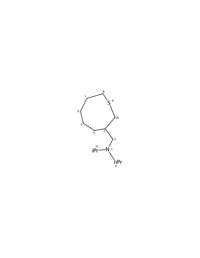 CCCN(CC1CCCCCSC1)C(C)C